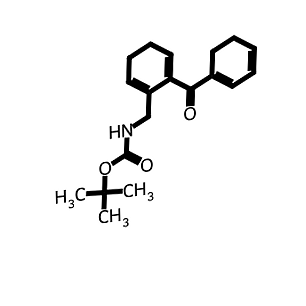 CC(C)(C)OC(=O)NCC1=CCCC=C1C(=O)C1=CC=CCC1